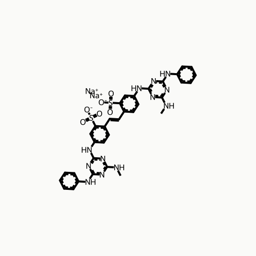 CNc1nc(Nc2ccccc2)nc(Nc2ccc(C=Cc3ccc(Nc4nc(NC)nc(Nc5ccccc5)n4)cc3S(=O)(=O)[O-])c(S(=O)(=O)[O-])c2)n1.[Na+].[Na+]